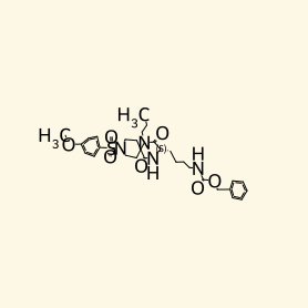 CCCN1C(=O)[C@H](CCCCNC(=O)OCc2ccccc2)NC(=O)C12CCN(S(=O)(=O)c1ccc(OC)cc1)CC2